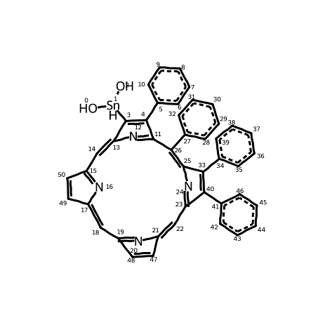 [OH][SnH]([OH])[C]1=C(c2ccccc2)C2=NC1=CC1=NC(=CC3=NC(=CC4=NC(=C2c2ccccc2)C(c2ccccc2)=C4c2ccccc2)C=C3)C=C1